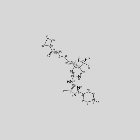 Cc1sc(C2CCN(C)CC2)nc1Nc1ncc(C(F)(F)F)c(NCCCNC(=O)C2CCC2)n1